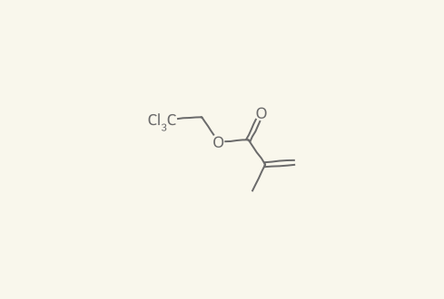 C=C(C)C(=O)OCC(Cl)(Cl)Cl